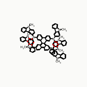 Cn1c2ccccc2c2cc(Nc3ccc4c5ccc(N(c6ccc7c(c6)c6ccccc6n7C)c6ccc7c(c6)c6ccccc6n7C)cc5c5c6cc(N(c7ccc8c(c7)c7ccccc7n8C)c7ccc8c(c7)c7ccccc7n8C)ccc6c6ccc(N(c7ccc8c(c7)c7ccccc7n8C)c7ccc8c(c7)c7ccccc7n8C)cc6c5c4c3)ccc21